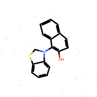 Oc1ccc2ccccc2c1N1CSc2ccccc21